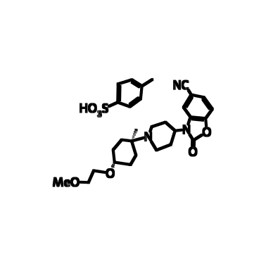 COCCO[C@H]1CC[C@](C)(N2CCC(n3c(=O)oc4ccc(C#N)cc43)CC2)CC1.Cc1ccc(S(=O)(=O)O)cc1